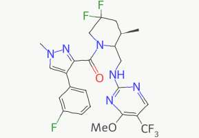 COc1nc(NCC2[C@H](C)CC(F)(F)CN2C(=O)c2nn(C)cc2-c2cccc(F)c2)ncc1C(F)(F)F